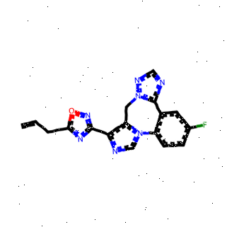 C=CCc1nc(-c2ncn3c2Cn2ncnc2-c2cc(F)ccc2-3)no1